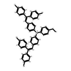 CCc1ccc(N(c2ccc(C=C(c3ccc(C)cc3)c3ccc(C)cc3)cc2)c2ccc(C=C(c3ccc(C)cc3)c3ccc(C)cc3)cc2)cc1